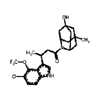 CC(CC(=O)N1C2CC3(C)CC1CC(O)(C2)C3)c1c[nH]c2ccc(Cl)c(OC(F)(F)F)c12